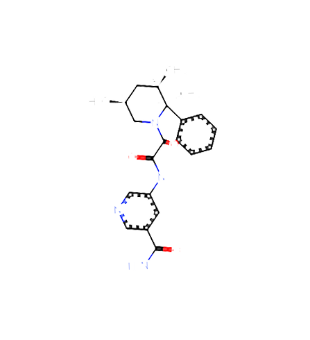 C[C@H]1C[C@@H](C)[C@@](C)(c2ccccc2)N(C(=O)C(=O)Nc2cncc(C(N)=O)c2)C1